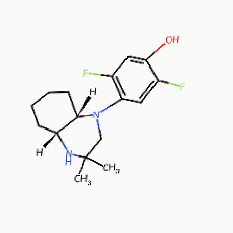 CC1(C)CN(c2cc(F)c(O)cc2F)[C@H]2CCCC[C@H]2N1